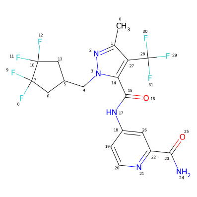 Cc1nn(CC2CC(F)(F)C(F)(F)C2)c(C(=O)Nc2ccnc(C(N)=O)c2)c1C(F)(F)F